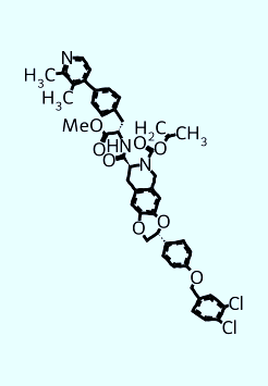 C=C(C)OC(=O)N1Cc2cc3c(cc2C[C@H]1C(=O)N[C@@H](Cc1ccc(-c2ccnc(C)c2C)cc1)C(=O)OC)OC[C@@H](c1ccc(OCc2ccc(Cl)c(Cl)c2)cc1)O3